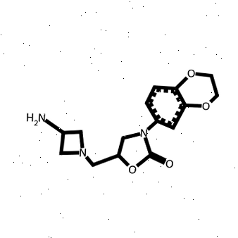 NC1CN(CC2CN(c3ccc4c(c3)OCCO4)C(=O)O2)C1